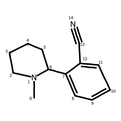 CN1CC[CH]CC1c1ccccc1C#N